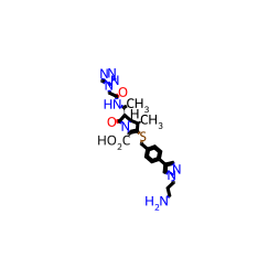 CC(NC(=O)Cn1cnnn1)[C@H]1C(=O)N2C(C(=O)O)=C(SCc3ccc(-c4cnn(CCCN)c4)cc3)[C@H](C)[C@H]12